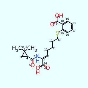 CC1(C)CC1C(=O)NC(=CCCCCSc1ccccc1C(=O)O)C(=O)O